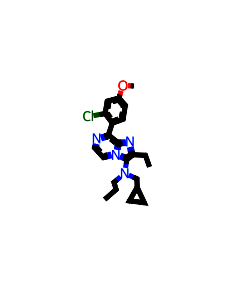 CCCN(CC1CC1)c1c(CC)nc2c(-c3ccc(OC)cc3Cl)nccn12